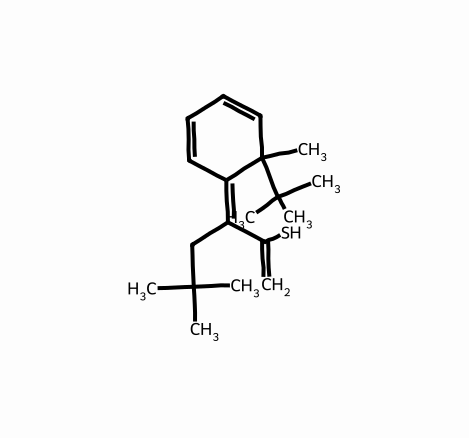 C=C(S)/C(CC(C)(C)C)=C1/C=CC=CC1(C)C(C)(C)C